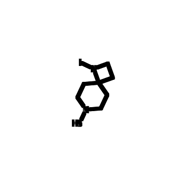 SN1CCC2(CC1)CCN2I